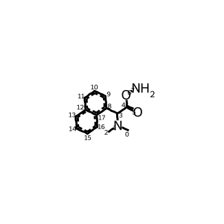 CN(C)C(C(=O)ON)c1cccc2ccccc12